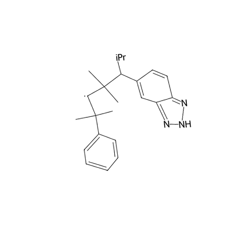 CC(C)C(c1ccc2n[nH]nc2c1)C(C)(C)[CH]C(C)(C)c1ccccc1